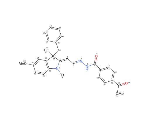 CCN1/C(=C\C=N\NC(=O)c2ccc(C(=O)OC)cc2)C(C)(Cc2ccccc2)c2cc(OC)ccc21